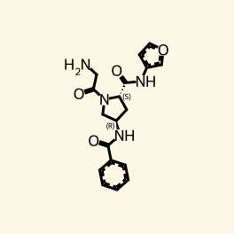 NCC(=O)N1C[C@H](NC(=O)c2ccccc2)C[C@H]1C(=O)Nc1ccoc1